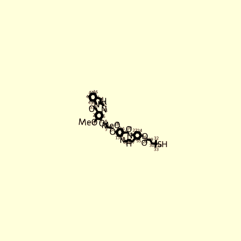 COc1cc2c(cc1OCCCOc1cc3c(cc1OC)C(=O)N1c4ccc(OC(=O)CCC(C)(C)S)cc4C[C@H]1C=N3)N=C[C@@H]1Cc3ccccc3N1C2=O